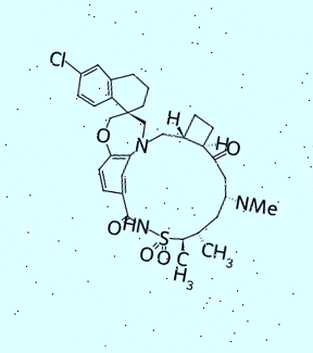 CN[C@H]1CC(=O)[C@@H]2CC[C@H]2CN2C[C@@]3(CCCc4cc(Cl)ccc43)COc3ccc(cc32)C(=O)NS(=O)(=O)[C@H](C)[C@@H](C)C1